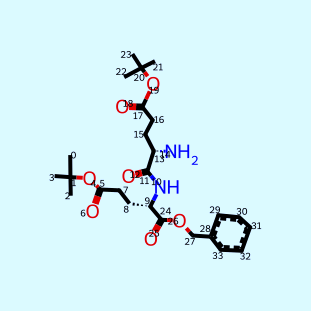 CC(C)(C)OC(=O)CC[C@H](NC(=O)[C@@H](N)CCC(=O)OC(C)(C)C)C(=O)OCc1ccccc1